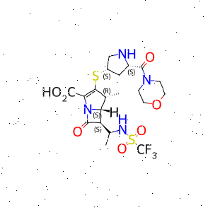 CC(NS(=O)(=O)C(F)(F)F)[C@H]1C(=O)N2C(C(=O)O)=C(S[C@@H]3CN[C@H](C(=O)N4CCOCC4)C3)[C@H](C)[C@H]12